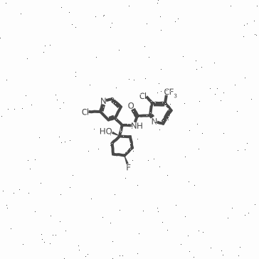 O=C(NC(c1ccnc(Cl)c1)[C@]1(O)CC[C@@H](F)CC1)c1nccc(C(F)(F)F)c1Cl